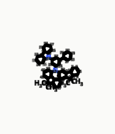 CC1(C)c2ccccc2-c2cc(N(c3cc(-c4ccccc4)cc(-n4c5ccccc5c5ccccc54)c3)c3cccc4c3-c3ccccc3C4(C)C)ccc21